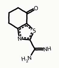 N=C(N)c1nc2c(s1)C(=O)CCC2